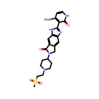 CNc1cc[nH]c(=O)c1-c1nc2cc3c(cc2[nH]1)C(=O)N(C1CCN(CCS(C)(=O)=O)CC1)C3